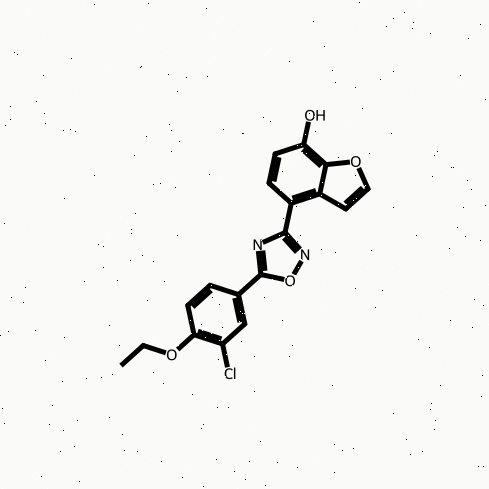 CCOc1ccc(-c2nc(-c3ccc(O)c4occc34)no2)cc1Cl